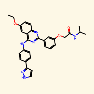 CCOc1ccc2nc(-c3cccc(OCC(=O)NC(C)C)c3)nc(Nc3ccc(-c4cc[nH]n4)cc3)c2c1